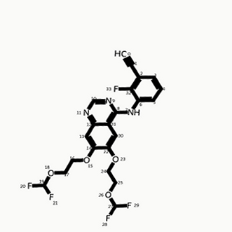 C#Cc1cccc(Nc2ncnc3cc(OCCOC(F)F)c(OCCOC(F)F)cc23)c1F